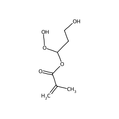 C=C(C)C(=O)OC(CCO)OO